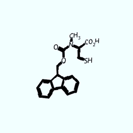 CN(C(=O)OCC1c2ccccc2-c2ccccc21)C(CS)C(=O)O